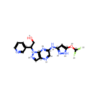 OCC(c1cccnc1)n1ncc2ncc(Nc3cc(OC(F)F)[nH]n3)nc21